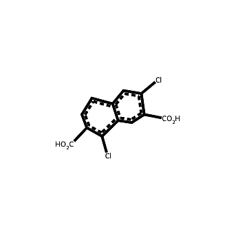 O=C(O)c1cc2c(Cl)c(C(=O)O)ccc2cc1Cl